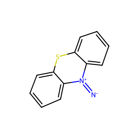 [N-]=[N+]1c2ccccc2Sc2ccccc21